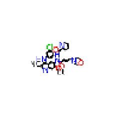 CCOc1cc2ncc(C#N)c(Nc3ccc(OCc4ccccn4)c(Cl)c3)c2cc1NC(=O)/C=C/CN1CCOCC1